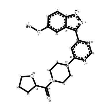 CC(C)Oc1ccc2[nH]nc(-c3cc(N4CCN(C(=O)C5CCCO5)CC4)ncn3)c2c1